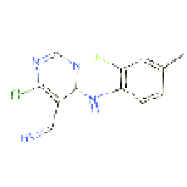 Cc1ccc(Nc2ncnc(Cl)c2C=N)c(F)c1